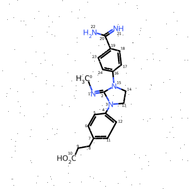 CN=C1N(c2ccc(CCC(=O)O)cc2)CCN1c1ccc(C(=N)N)cc1